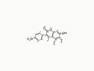 Cc1c(-c2ccc([N+](=O)[O-])cc2)c(=O)oc2cc(O)c(F)c(F)c12